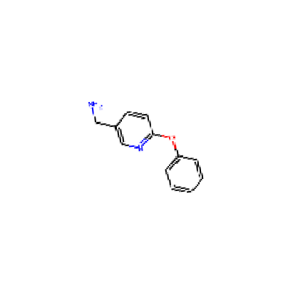 NCc1ccc(Oc2ccccc2)nc1